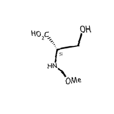 CON[C@@H](CO)C(=O)O